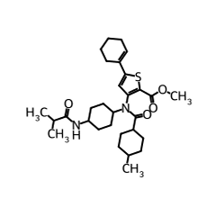 COC(=O)c1sc(C2=CCCCC2)cc1N(C(=O)C1CCC(C)CC1)C1CCC(NC(=O)C(C)C)CC1